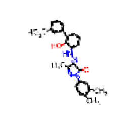 CC1=NN(c2ccc(C)c(C)c2)C(=O)/C1=N/Nc1cccc(-c2cccc(C(=O)O)c2)c1O